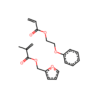 C=C(C)C(=O)OCc1ccco1.C=CC(=O)OCCOc1ccccc1